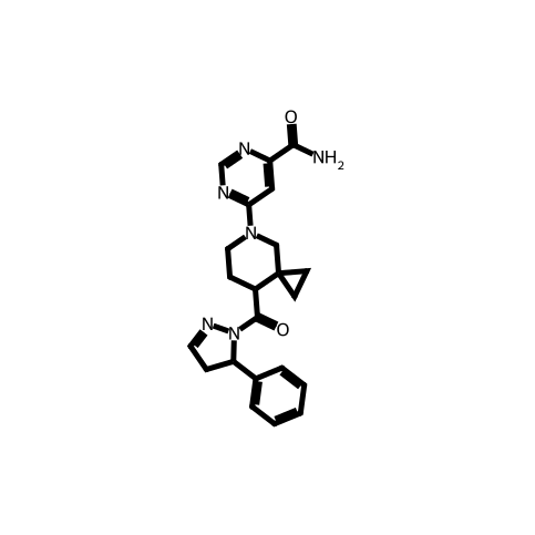 NC(=O)c1cc(N2CCC(C(=O)N3N=CCC3c3ccccc3)C3(CC3)C2)ncn1